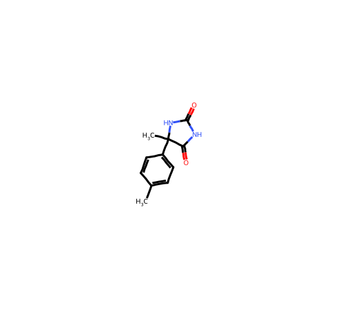 Cc1ccc(C2(C)NC(=O)NC2=O)cc1